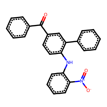 O=C(c1ccccc1)c1ccc(Nc2ccccc2[N+](=O)[O-])c(-c2ccccc2)c1